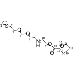 COCCOCOCCNCCOC(=O)C1CC2CCC1O2